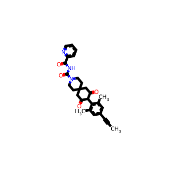 CC#Cc1cc(C)c(C2C(=O)CC3(CCN(C(=O)NC(=O)c4ccccn4)CC3)CC2=O)c(C)c1